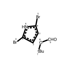 Brc1ccc(Br)[nH]1.CC(C)(C)OC=O